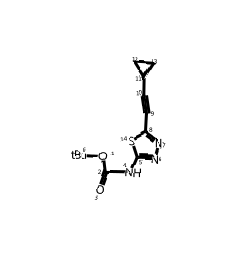 CC(C)(C)OC(=O)Nc1nnc(C#CC2CC2)s1